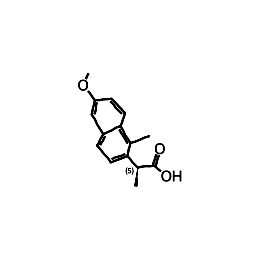 COc1ccc2c(C)c([C@H](C)C(=O)O)ccc2c1